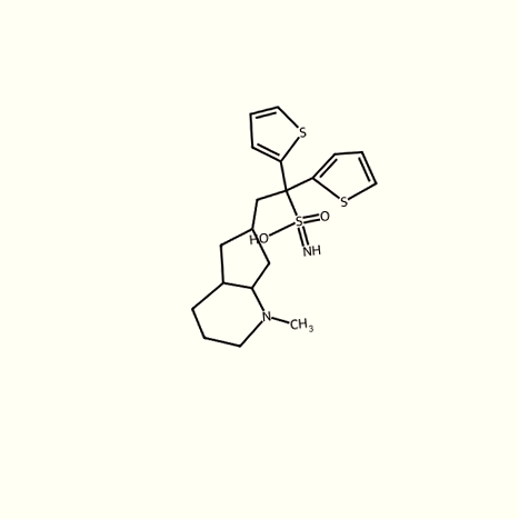 CN1CCCC2CC(CC(c3cccs3)(c3cccs3)S(=N)(=O)O)CC21